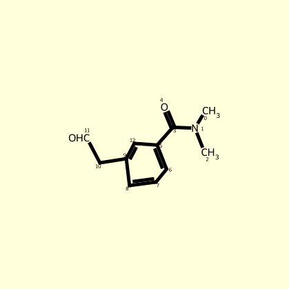 CN(C)C(=O)c1cccc(CC=O)c1